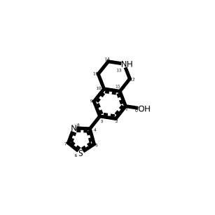 Oc1cc(-c2cscn2)cc2c1CNCC2